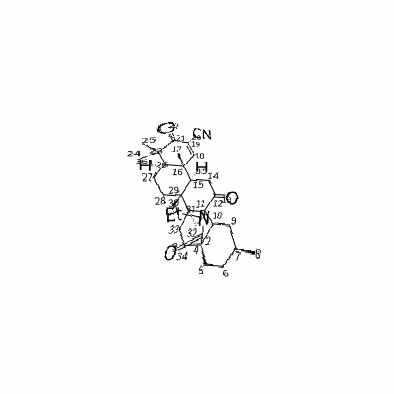 CCN1C(=O)[C@]23CC[C@H](C)CC2[C@]12C(=O)C[C@@H]1[C@@]4(C)C=C(C#N)C(=O)C(C)(C)[C@@H]4CC[C@@]1(C)[C@]2(C)CC3